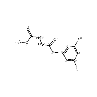 CC(C)(C)OC(=O)NNC(=O)Cc1cc(F)cc(F)c1